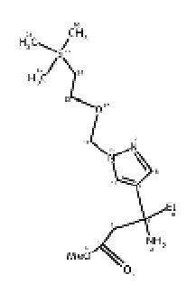 CCC(N)(CC(=O)OC)c1cnn(COCC[Si](C)(C)C)c1